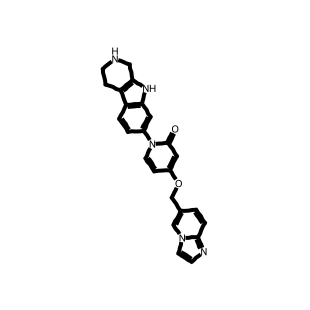 O=c1cc(OCc2ccc3nccn3c2)ccn1-c1ccc2c3c([nH]c2c1)CNCC3